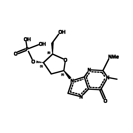 CNc1nc2c(ncn2[C@H]2C[C@H](OP(=O)(O)O)[C@@H](CO)O2)c(=O)n1C